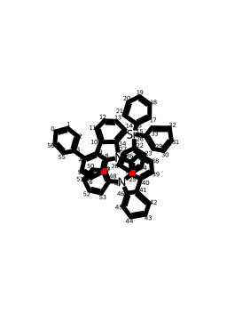 c1ccc(-c2cccc3c2c2cccc([Si](c4ccccc4)(c4ccccc4)c4ccccc4)c2n3-c2cccc3c4ccccc4n(-c4ccccc4)c23)cc1